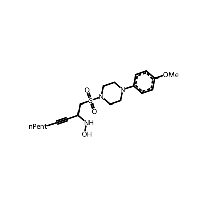 CCCCCC#CC(CS(=O)(=O)N1CCN(c2ccc(OC)cc2)CC1)NO